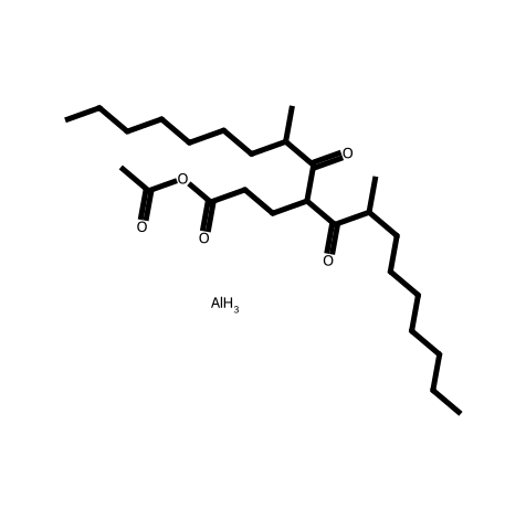 CCCCCCCC(C)C(=O)C(CCC(=O)OC(C)=O)C(=O)C(C)CCCCCCC.[AlH3]